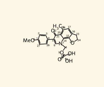 COc1ccc(-c2cn(COP(=O)(O)O)c3c4c(cc(C)c3c2=O)CCO4)cc1